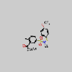 CCN(Sc1ccc(OC(F)(F)F)cc1)S(=O)(=O)c1ccc(C)c(C(=O)OC)c1